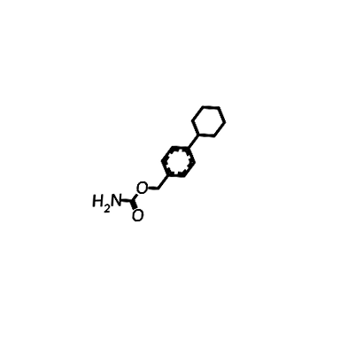 NC(=O)OCc1ccc(C2CCCCC2)cc1